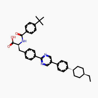 CC[C@H]1CC[C@H](c2ccc(-c3cnc(-c4ccc(C[C@H](NC(=O)c5ccc(C(C)(C)C)cc5)C(=O)O)cc4)nc3)cc2)CC1